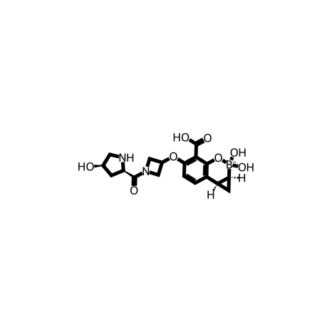 O=C(O)c1c(OC2CN(C(=O)[C@H]3C[C@@H](O)CN3)C2)ccc2c1O[B-](O)(O)[C@H]1C[C@@H]21